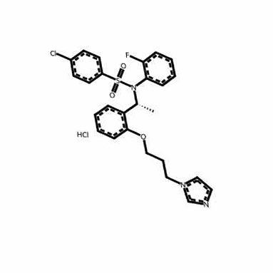 C[C@H](c1ccccc1OCCCn1ccnc1)N(c1ccccc1F)S(=O)(=O)c1ccc(Cl)cc1.Cl